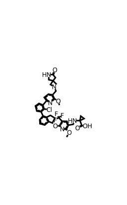 COc1nc(-c2cccc(-c3cccc4c3CC[C@@H]4Oc3nc(OC)c(CNC4(C(=O)O)CC4)cc3C(F)(F)F)c2Cl)ccc1CN1CC2(CNC(=O)C2)C1